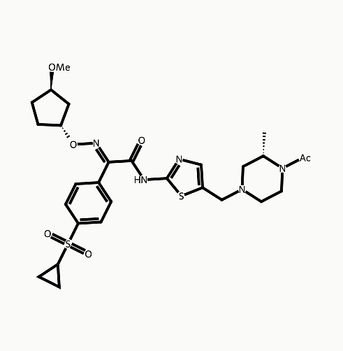 CO[C@@H]1CC[C@@H](O/N=C(/C(=O)Nc2ncc(CN3CCN(C(C)=O)[C@@H](C)C3)s2)c2ccc(S(=O)(=O)C3CC3)cc2)C1